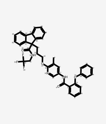 Cc1cc(NC(=O)c2ccccc2Oc2ccccc2)cnc1OCCCC1(C(=O)NCC(F)(F)F)c2ccccc2-c2ccccc21